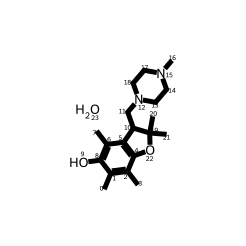 Cc1c(C)c2c(c(C)c1O)C(CN1CCN(C)CC1)C(C)(C)O2.O